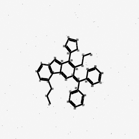 CCCc1cccc2c1-c1cc(=C(c3ccccc3)c3ccccc3)c(CCC)c(C3=CC=CC3)c1=[C]2